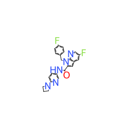 O=C(Nc1ccc(N2CCC2)nc1)c1cc2cc(F)cnc2n1Cc1ccc(F)cc1